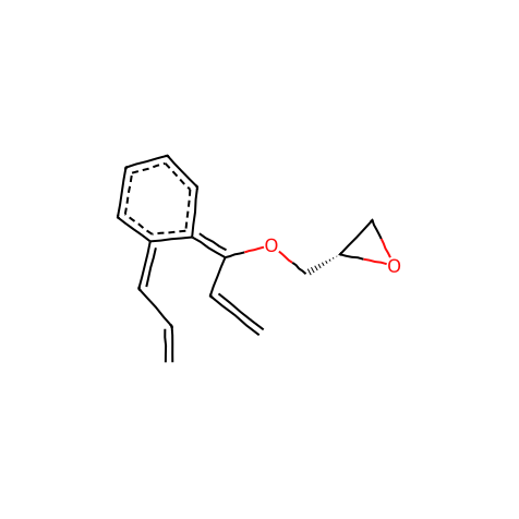 C=C/C=c1/cccc/c1=C(/C=C)OC[C@@H]1CO1